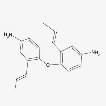 CC=Cc1cc(N)ccc1Oc1ccc(N)cc1C=CC